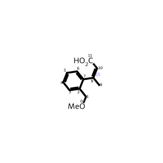 COCc1ccccc1/C(C)=C\C(=O)O